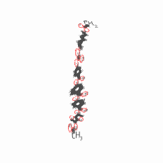 C=CC(=O)OCCCCCCOC(=O)Oc1ccc(C(=O)Oc2ccc(C(=O)Oc3ccc(C(=O)O[C@H]4COC5C4OC[C@H]5OC(C)=O)cc3)cc2)cc1